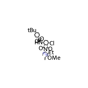 C=C/C(OC)=C(CC)\C(=C/C)N1C(=O)c2c(Cl)ccc(NS(=O)(=O)c3ccc(C(C)(C)C)cc3)c2C1=O